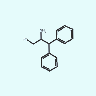 CC(C)CC(N)C(c1ccccc1)c1ccccc1